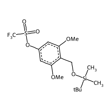 COc1cc(OS(=O)(=O)C(F)(F)F)cc(OC)c1CO[Si](C)(C)C(C)(C)C